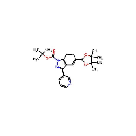 CC(C)(C)OC(=O)n1nc(-c2cccnc2)c2cc(B3OC(C)(C)C(C)(C)O3)ccc21